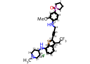 COc1cc(P2(=O)CCCC2)ccc1NCC#Cc1sc2c(NC3CCN(C)C[C@H]3F)cccc2c1CC(F)(F)F